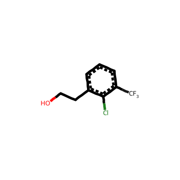 OCCc1cccc(C(F)(F)F)c1Cl